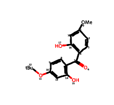 COc1ccc(C(=O)c2ccc(OC(C)(C)C)cc2O)c(O)c1